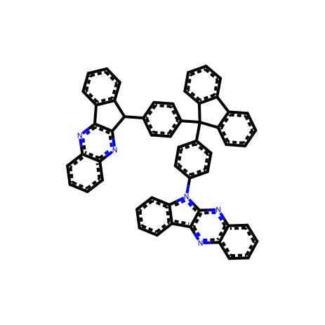 c1ccc2c(c1)-c1nc3ccccc3nc1C2c1ccc(C2(c3ccc(-n4c5ccccc5c5nc6ccccc6nc54)cc3)c3ccccc3-c3ccccc32)cc1